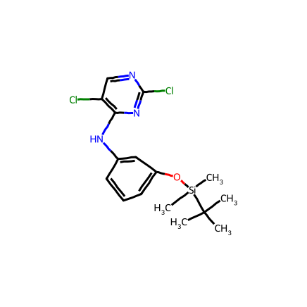 CC(C)(C)[Si](C)(C)Oc1cccc(Nc2nc(Cl)ncc2Cl)c1